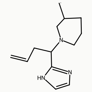 [CH2]C1CCCN(C(CC=C)c2ncc[nH]2)C1